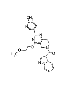 COCCOc1nc(-c2ccc(C)nc2)nc2c1CN(C(=O)C1C=NN3C=CC=CC13)CC2